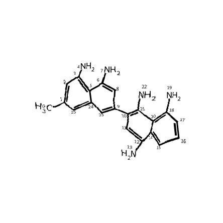 Cc1cc(N)c2c(N)cc(-c3cc(N)c4cccc(N)c4c3N)cc2c1